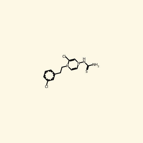 NC(=S)NN1C=CN(CCc2cccc(Cl)c2)C(Cl)=C1